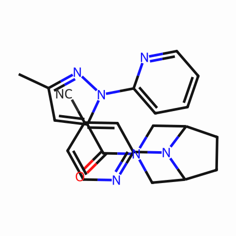 Cc1cc(C(=O)N2CC3CCC(C2)N3c2cc(C#N)ccn2)n(-c2ccccn2)n1